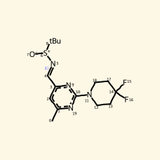 Cc1cc(/C=N/[S+]([O-])C(C)(C)C)nc(N2CCC(F)(F)CC2)n1